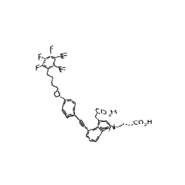 O=C(O)CCCn1cc(CC(=O)O)c2c(C#Cc3ccc(OCCCCc4c(F)c(F)c(F)c(F)c4F)cc3)cccc21